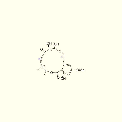 COc1cc(O)c2c(c1)/C=C/CC(O)[C@H](O)C(=O)/C=C\[C@@H](C)C(C)OC2=O